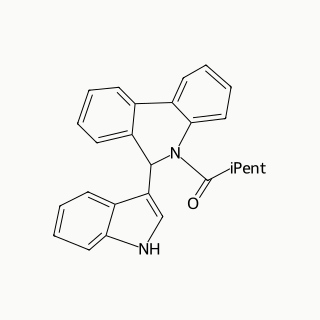 CCCC(C)C(=O)N1c2ccccc2-c2ccccc2C1c1c[nH]c2ccccc12